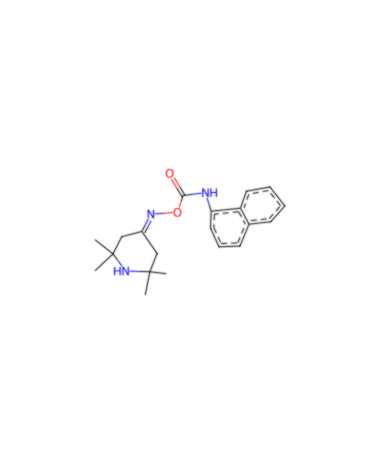 CC1(C)CC(=NOC(=O)Nc2cccc3ccccc23)CC(C)(C)N1